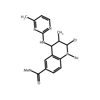 CCC1C(C)C(Nc2nccc(C)n2)c2cc(C(=O)NC)ccc2N1C(C)=O